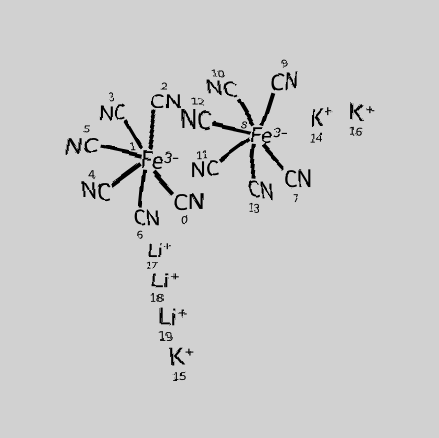 N#[C][Fe-3]([C]#N)([C]#N)([C]#N)([C]#N)[C]#N.N#[C][Fe-3]([C]#N)([C]#N)([C]#N)([C]#N)[C]#N.[K+].[K+].[K+].[Li+].[Li+].[Li+]